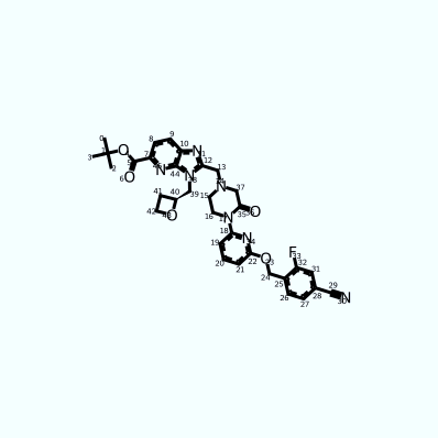 CC(C)(C)OC(=O)c1ccc2nc(CN3CCN(c4cccc(OCc5ccc(C#N)cc5F)n4)C(=O)C3)n(C[C@@H]3CCO3)c2n1